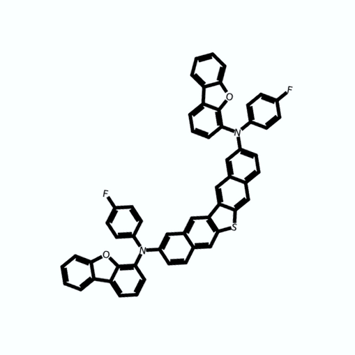 Fc1ccc(N(c2ccc3cc4sc5cc6ccc(N(c7ccc(F)cc7)c7cccc8c7oc7ccccc78)cc6cc5c4cc3c2)c2cccc3c2oc2ccccc23)cc1